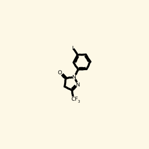 O=C1CC(C(F)(F)F)=NN1c1cccc(I)c1